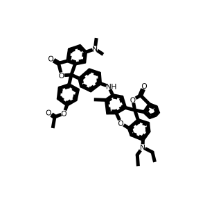 CCN(CC)c1ccc2c(c1)Oc1cc(C)c(Nc3ccc(C4(c5ccc(OC(C)=O)cc5)OC(=O)c5ccc(N(C)C)cc54)cc3)cc1C21OC(=O)c2ccccc21